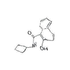 O=C(NC1CCC1)c1c(O)ccc2ccccc12